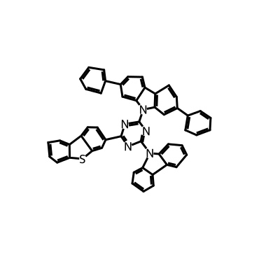 c1ccc(-c2ccc3c4ccc(-c5ccccc5)cc4n(-c4nc(-c5ccc6c(c5)sc5ccccc56)nc(-n5c6ccccc6c6ccccc65)n4)c3c2)cc1